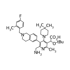 Cc1cc(F)ccc1CN1CCc2cc(-c3c(CN)nc(C)c(C(OC(C)(C)C)C(=O)O)c3N3CCC(C)(C)CC3)ccc2C1